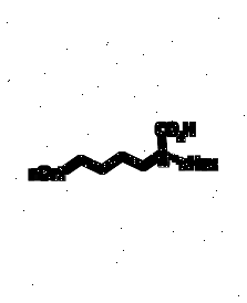 CCCCCCCCCCCC[C@@H](CCCCCC)C(=O)O